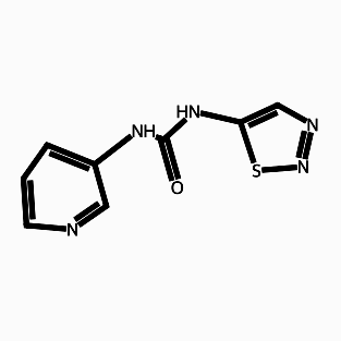 O=C(Nc1cccnc1)Nc1cnns1